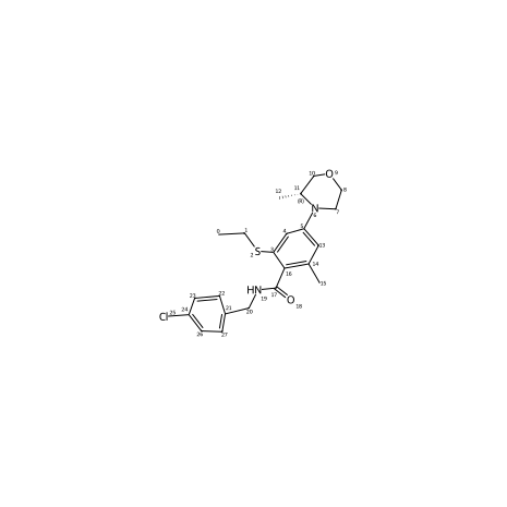 CCSc1cc(N2CCOC[C@H]2C)cc(C)c1C(=O)NCc1ccc(Cl)cc1